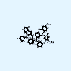 Cc1cc(C(C)(C)C)ccc1N(c1ccc2c(c1)N(c1ccccc1)c1cccc3c1B2c1cc2ccccn2c1N3c1ccccc1)c1ccc(C(C)(C)C)cc1C